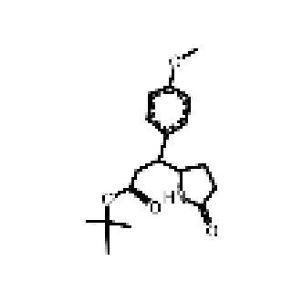 COc1ccc(C(CC(=O)OC(C)(C)C)C2CCC(=O)N2)cc1